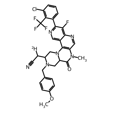 [2H]C(C#N)C1CN2c3c(cnc4c(F)c(-c5cccc(Cl)c5C(F)(F)F)ncc34)N(C)C(=O)C2CN1Cc1ccc(OC)cc1